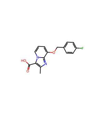 Cc1nc2c(OCc3ccc(F)cc3)cccn2c1C(=O)O